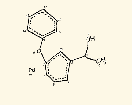 CC(O)c1cccc(Oc2ccccc2)c1.[Pd]